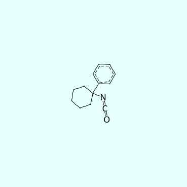 O=C=NC1(c2ccccc2)CCCCC1